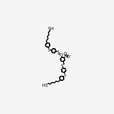 O=[N+]([O-])c1cc(CSc2ccc(Sc3ccc(CCCCCCS)cc3)cc2)ccc1OCSc1ccc(Sc2ccc(CCCCCCS)cc2)cc1